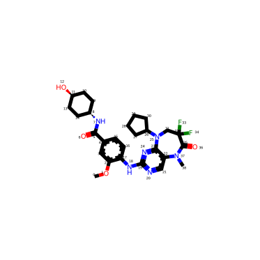 COc1cc(C(=O)N[C@H]2CC[C@H](O)CC2)ccc1Nc1ncc2c(n1)N(C1CCCC1)CC(F)(F)C(=O)N2C